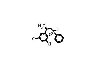 C=C(CS(=O)(=O)c1ccccc1)c1cc(Cl)cc(Cl)c1